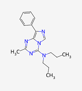 CCCN(CCC)c1nc(C)nc2c(-c3ccccc3)ncn12